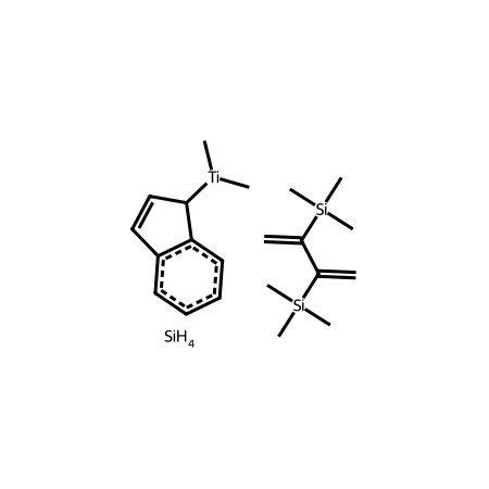 C=C(C(=C)[Si](C)(C)C)[Si](C)(C)C.[CH3][Ti]([CH3])[CH]1C=Cc2ccccc21.[SiH4]